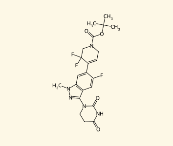 Cn1nc(N2CCC(=O)NC2=O)c2cc(F)c(C3=CCN(C(=O)OC(C)(C)C)CC3(F)F)cc21